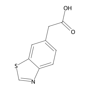 O=C(O)Cc1ccc2ncsc2c1